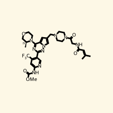 COC(=O)Nc1cc(C(F)(F)F)c(-c2nc(N3CCOC[C@@H]3C)c3cc(CN4CCN(C(=O)CNC(=O)C=C(C)C)CC4)cn3n2)cn1